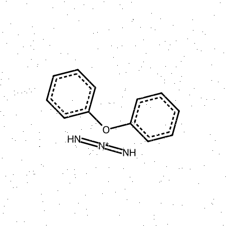 N=[N+]=N.c1ccc(Oc2ccccc2)cc1